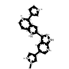 Cn1cc(-c2cnc3[nH]nc(-c4cc5c(-c6ccoc6)nccc5[nH]4)c3c2)cn1